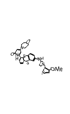 COc1ccncc1CN1CCC(Nc2ccc3c(c2)Sc2cccc(-c4cc(N5CCOCC5)cc(=O)[nH]4)c2S3)C1